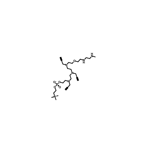 C#CCN(CCOCCNCCNC)CCN(CC#C)CCN(CC#C)CCOP(=O)([O-])OCC[N+](C)(C)C